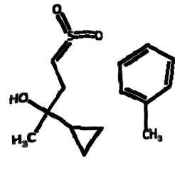 CC(O)(CC=S(=O)=O)C1CC1.Cc1ccccc1